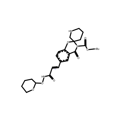 CCCCOC(=O)N1C(=O)c2cc(/C=C/C(=O)NOC3CCCCO3)ccc2OC12CCCNC2